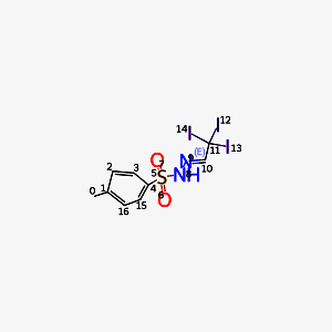 Cc1ccc(S(=O)(=O)N/N=C/C(I)(I)I)cc1